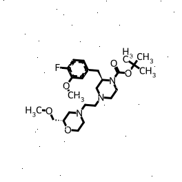 COC[C@@H]1CN(CCN2CCN(C(=O)OC(C)(C)C)[C@H](Cc3ccc(F)c(OC)c3)C2)CCO1